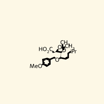 COc1ccc(COC(/C=C\CC(C)C)[C@H]2OC(C)(C)O[C@H]2CC(=O)O)cc1